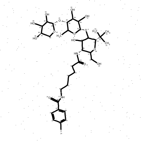 CC1O[C@@H](OC2C(O)[C@@H](NC(=O)CCCCCNC(=O)c3ccc(I)cc3)C(CO)O[C@H]2C(C)(C)C)C(O)C(O)[C@H]1O[C@@H]1OC[C@@H](O)C(O)C1O